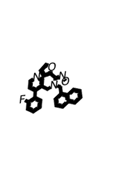 Fc1ccccc1-c1ccncc1CN1C(c2ccco2)=NOC1c1cccc2ccccc12